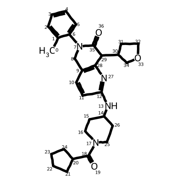 Cc1ccccc1N1Cc2ccc(NC3CCN(C(=O)C4CCCC4)CC3)nc2C(C2CCOC2)C1=O